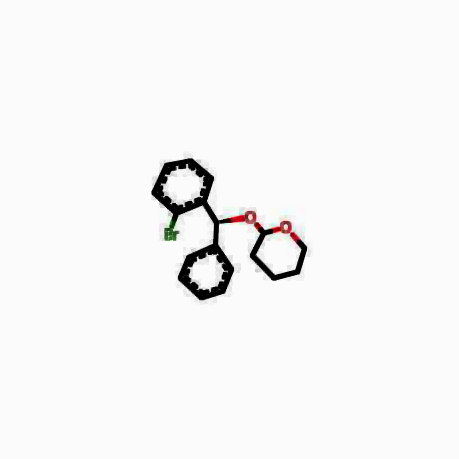 Brc1ccccc1[C@@H](OC1CCCCO1)c1ccccc1